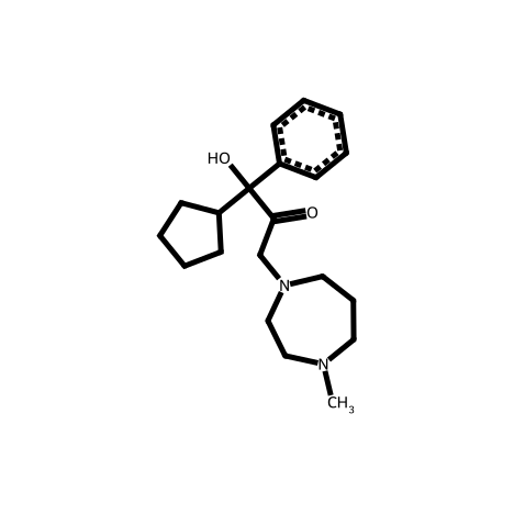 CN1CCCN(CC(=O)C(O)(c2ccccc2)C2CCCC2)CC1